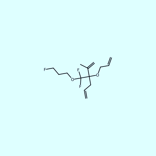 C=CCOC(CC=C)(C(=C)C)C(F)(F)OCCCF